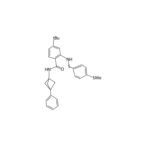 CSc1ccc(SNc2cc(C(C)(C)C)ccc2C(=O)NC23CC(c4ccccc4)(C2)C3)cc1